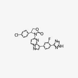 O=C1OCC(c2ccc(Cl)cc2)N1c1ccn2ncc(-c3ccc(-c4nc[nH]n4)c(F)c3)c2n1